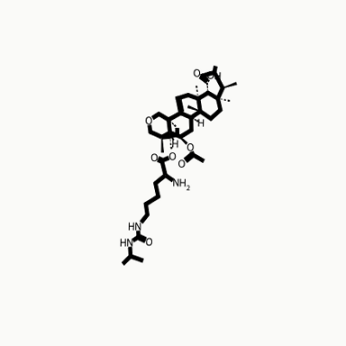 CC(=O)O[C@@H]1C[C@@]23COC[C@](C)([C@@H]2CC[C@H]2C3=CC[C@@]3(C)[C@H](C(=O)O)[C@@](C)([C@H](C)C(C)C)CC[C@]23C)[C@H]1OC(=O)C(N)CCCCNC(=O)NC(C)C